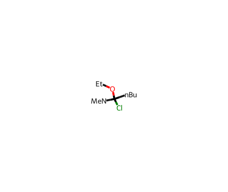 CCCCC(Cl)(NC)OCC